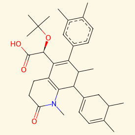 CC1=CC=C(C2C3=C(CCC(=O)N3C)C([C@H](OC(C)(C)C)C(=O)O)=C(c3ccc(C)c(C)c3)C2C)CC1C